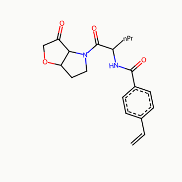 C=Cc1ccc(C(=O)NC(CCC)C(=O)N2CCC3OCC(=O)C32)cc1